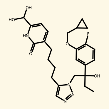 CCC(O)(Cn1nncc1CCCCc1ccc(C(O)O)[nH]c1=O)c1ccc(F)c(OCC2CC2)c1